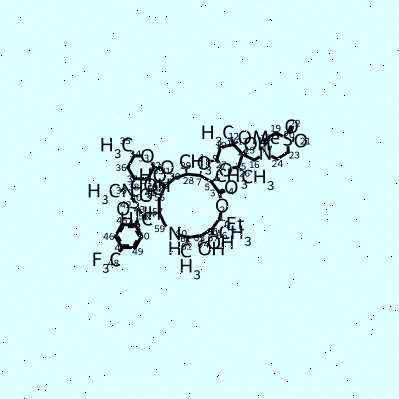 CC[C@H]1OC(=O)[C@H](C)[C@@H](O[C@H]2C[C@@](C)(OC)[C@](O)(CN3CCS(=O)(=O)CC3)[C@H](C)O2)[C@H](C)[C@@H](O[C@@H]2O[C@H](C)C[C@H](N(C)S(=O)(=O)Nc3ccc(C(F)(F)F)cc3)[C@H]2O)[C@](C)(O)C[C@@H](C)CN[C@H](C)[C@@H](O)[C@]1(C)O